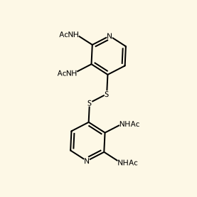 CC(=O)Nc1nccc(SSc2ccnc(NC(C)=O)c2NC(C)=O)c1NC(C)=O